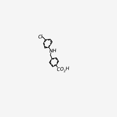 O=C(O)c1ccc(CNc2ccc(Cl)cc2)cc1